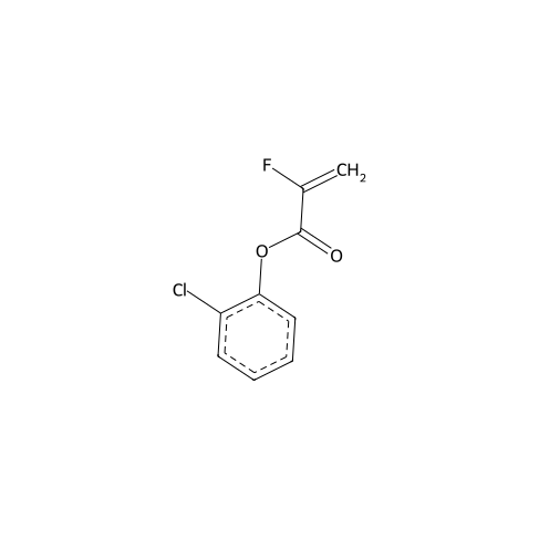 C=C(F)C(=O)Oc1ccccc1Cl